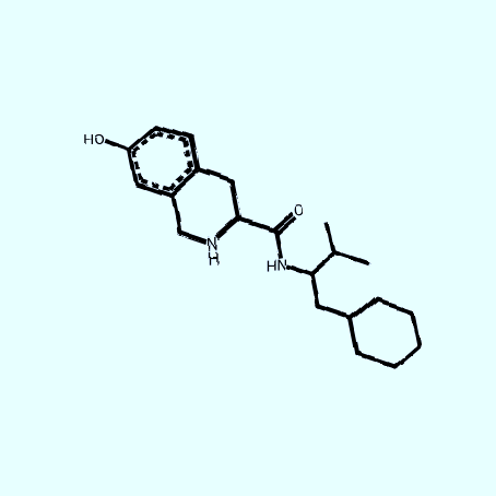 CC(C)C(CC1CCCCC1)NC(=O)C1Cc2ccc(O)cc2CN1